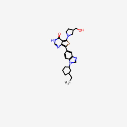 CCC1CCCC(n2cnc3cc(-c4sc(N5CCC(CO)C5)c5c(=O)[nH]cnc45)ccc32)C1